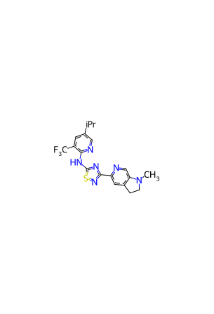 CC(C)c1cnc(Nc2nc(-c3cc4c(cn3)N(C)CC4)ns2)c(C(F)(F)F)c1